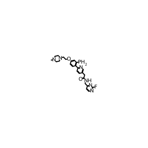 CN1CCN(CCOc2ccc(-c3ccc(CC(=O)NCc4ccnc(F)n4)cn3)c(P)c2)CC1